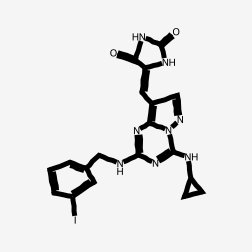 O=C1NC(=O)/C(=C/c2cnn3c(NC4CC4)nc(NCc4cccc(I)c4)nc23)N1